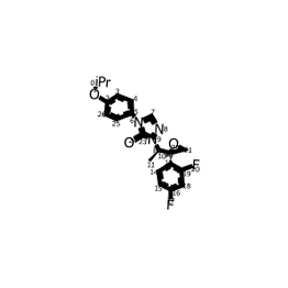 CC(C)Oc1ccc(-n2cnn([C@H](C)[C@]3(c4ccc(F)cc4F)CO3)c2=O)cc1